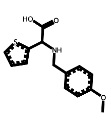 COc1ccc(CNC(C(=O)O)c2cccs2)cc1